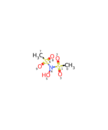 CS(=O)(=O)N(O)S(C)(=O)=O